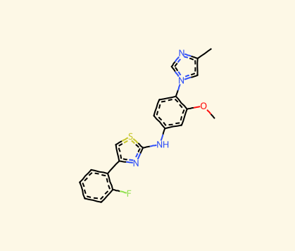 COc1cc(Nc2nc(-c3ccccc3F)cs2)ccc1-n1cnc(C)c1